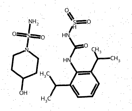 CC(C)c1cccc(C(C)C)c1NC(=O)N[SH](=O)=O.NS(=O)(=O)N1CCC(O)CC1